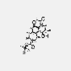 C[C@@H](CO)CN1C(=O)COc2cc3c(cc21)CCN(C(=O)OC(C)(C)C)CC3